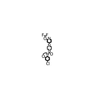 O=C(N1CCN(c2ccnc(OC(F)F)c2)CC1)N1CCOc2cc(Cl)ccc21